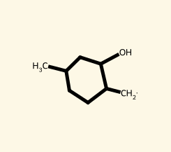 [CH2]C1CCC(C)CC1O